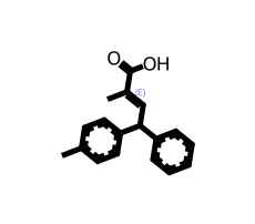 C/C(=C\C(c1ccccc1)c1ccc(C)cc1)C(=O)O